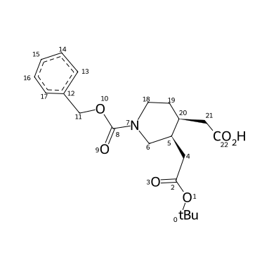 CC(C)(C)OC(=O)C[C@H]1CN(C(=O)OCc2ccccc2)CC[C@H]1CC(=O)O